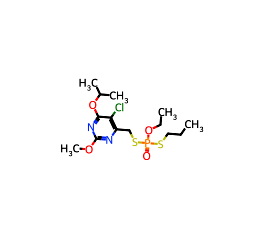 CCCSP(=O)(OCC)SCc1nc(OC)nc(OC(C)C)c1Cl